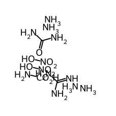 N.N.N.N.N=C(N)N.NC(=O)O.NC(N)=O.O=[N+]([O-])O.O=[N+]([O-])O